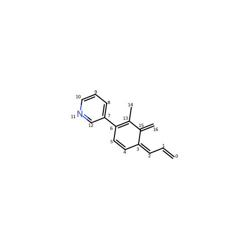 C=C/C=c1/ccc(-c2cccnc2)c(C)c1=C